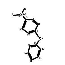 C[SH](C)c1ccc(Sc2ccccc2)cc1